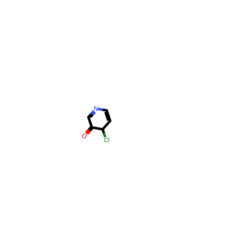 O=C1C=NC=CC1Cl